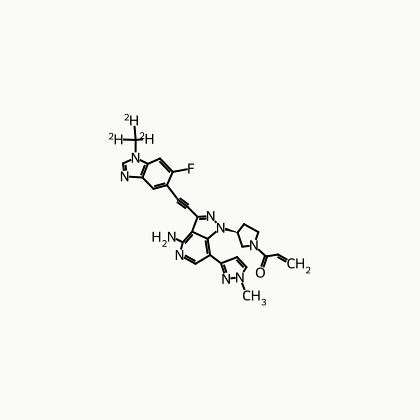 [2H]C([2H])([2H])n1cnc2cc(C#Cc3nn([C@H]4CCN(C(=O)C=C)C4)c4c(-c5ccn(C)n5)cnc(N)c34)c(F)cc21